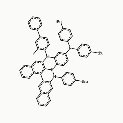 Cc1cc(-c2ccccc2)ccc1N1c2cc(N(c3ccc(C(C)(C)C)cc3)c3ccc(C(C)(C)C)cc3)ccc2B2c3c1cc1ccccc1c3-c1cc3ccccc3cc1N2c1ccc(C(C)(C)C)cc1